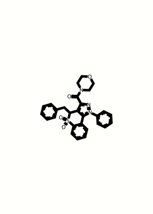 O=C(c1nn(-c2ccccc2)c2c1C(Cc1ccccc1)S(=O)(=O)c1ccccc1-2)N1CCOCC1